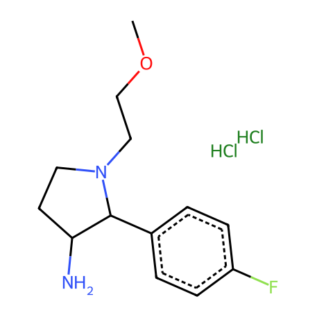 COCCN1CCC(N)C1c1ccc(F)cc1.Cl.Cl